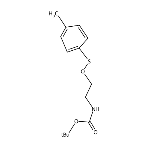 Cc1ccc(SOCCNC(=O)OC(C)(C)C)cc1